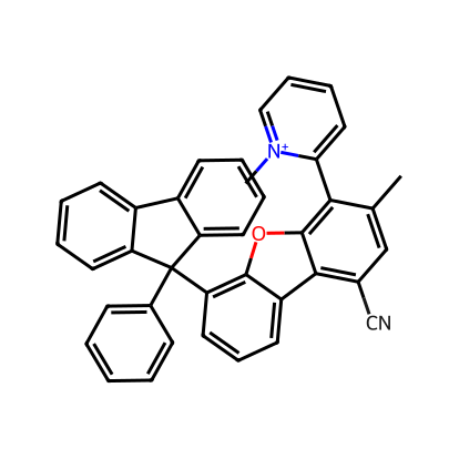 Cc1cc(C#N)c2c(oc3c(C4(c5ccccc5)c5ccccc5-c5ccccc54)cccc32)c1-c1cccc[n+]1C